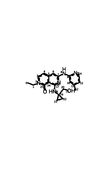 CCn1ccc2cc(Nc3cc(C)ccn3)nc(NC3(CO)CC3)c2c1=O